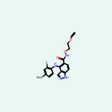 C=COCCONC(=O)c1ccc2[nH]ncc2c1Nc1ccc(SC)cc1F